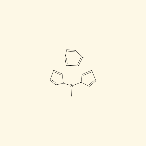 [CH3][Zr]([CH]1C=CC=C1)[CH]1C=CC=C1.[c]1ccccc1